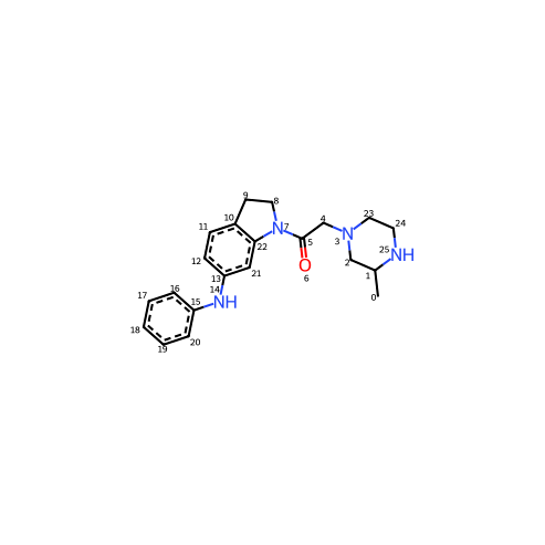 CC1CN(CC(=O)N2CCc3ccc(Nc4ccccc4)cc32)CCN1